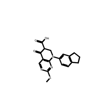 CSc1ncc2c(n1)N(c1ccc3c(c1)CCC3)CC(C(=O)O)C2=O